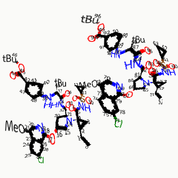 C=C[C@@H]1C[C@@]1(C(=O)NS(=O)(=O)C1CC1)N1CC(Oc2ncc(OC)c3ccc(Cl)cc23)C[C@H]1C(=O)NC(=O)[C@H](Nc1ccc(C(=O)OC(C)(C)C)cc1)C(C)(C)C.C=C[C@@H]1C[C@@]1(C(=O)NS(=O)(=O)C1CC1)N1C[C@H](Oc2ncc(OC)c3ccc(Cl)cc23)C[C@H]1C(=O)NC(=O)[C@@H](Nc1ccc(C(=O)OC(C)(C)C)cc1)C(C)(C)C